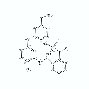 CC(c1ncccc1CNc1nc(Nc2cccc(CN)c2)ncc1C(F)(F)F)S(C)(=O)=O